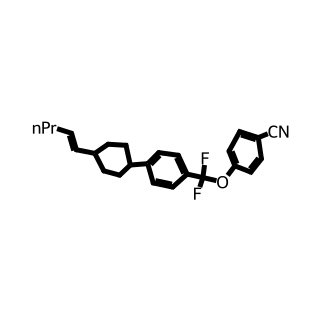 CCC/C=C/C1CCC(c2ccc(C(F)(F)Oc3ccc(C#N)cc3)cc2)CC1